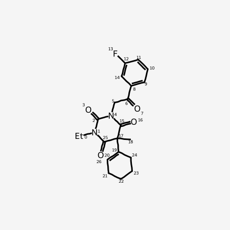 CCN1C(=O)N(CC(=O)c2cccc(F)c2)C(=O)C(C)(C2=CCCCC2)C1=O